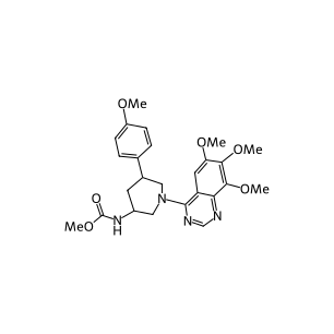 COC(=O)NC1CC(c2ccc(OC)cc2)CN(c2ncnc3c(OC)c(OC)c(OC)cc23)C1